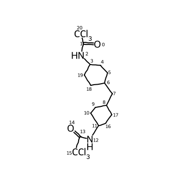 O=C(NC1CCC(CC2CCC(NC(=O)C(Cl)(Cl)Cl)CC2)CC1)C(Cl)(Cl)Cl